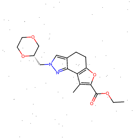 CCOC(=O)c1oc2c(c1C)-c1nn(C[C@H]3COCCO3)cc1CC2